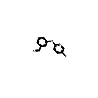 O=Cc1cccc(Oc2ccc(F)cn2)c1